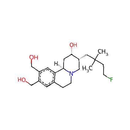 CC(C)(CCF)C[C@@H]1CN2CCc3cc(CO)c(CO)cc3[C@H]2C[C@@H]1O